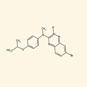 CC(Oc1ccc(N(C)c2nc3ccc(Br)cc3n[n+]2[O-])cc1)C(=O)O